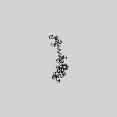 CC(C)(C)OCC(=O)NCCCCCCNC(=O)COc1cccc2c1C(=O)N(C1CCC(=O)NC1=O)C2=O